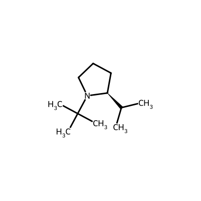 CC(C)[C@@H]1CCCN1C(C)(C)C